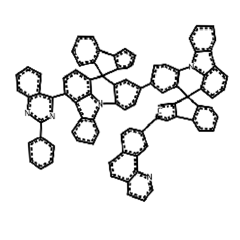 c1ccc(-c2nc(-c3ccc4c5c3c3ccccc3n5-c3ccc(-c5ccc6c(c5)C5(c7ccccc7-c7cc(-c8ccc9ccc%10cccnc%10c9c8)ccc75)c5cccc7c8ccccc8n-6c57)cc3C43c4ccccc4-c4ccccc43)c3ccccc3n2)cc1